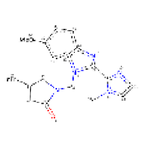 CCCC1CC(=O)N(Cn2c(-c3nccn3C)nc3ccc(OC)cc32)C1